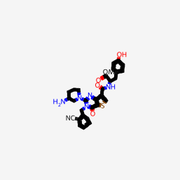 COC(=O)C(Cc1ccc(O)cc1)NC(=O)c1csc2c(=O)n(Cc3ccccc3C#N)c(N3CCCC(N)C3)nc12